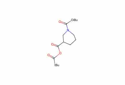 CC(C)COC(=O)N1CCCC(C(=O)OC(=O)C(C)(C)C)C1